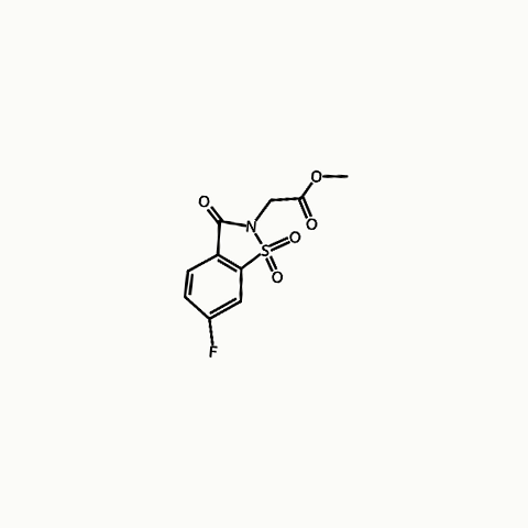 COC(=O)CN1C(=O)c2ccc(F)cc2S1(=O)=O